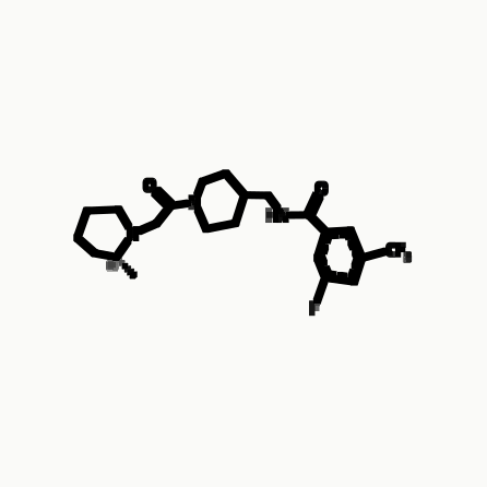 C[C@@H]1CCCCN1CC(=O)N1CCC(CNC(=O)c2cc(F)cc(C(F)(F)F)c2)CC1